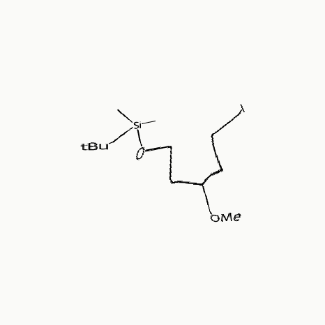 COC(CCI)CCO[Si](C)(C)C(C)(C)C